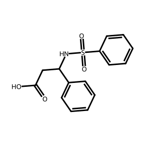 O=C(O)CC(NS(=O)(=O)c1ccccc1)c1ccccc1